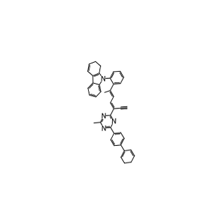 C#C/C(=C\C=C(/C)c1ccccc1-n1c2c(c3ccccc31)C=CCC2)c1nc(C)nc(-c2ccc(C3=CCCC=C3)cc2)n1